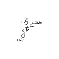 COc1ccc(-c2cn(CC(=O)N3CCC4(CCNC4)CC3)nc2-c2ccc(C#N)c(F)c2)cc1F